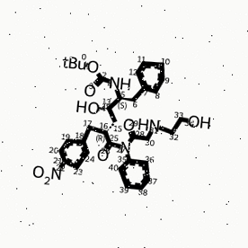 CC(C)(C)OC(=O)N[C@@H](Cc1ccccc1)[C@@H](O)C[C@@H](Cc1ccc([N+](=O)[O-])cc1)C(=O)N(C(=O)CNCCO)c1ccccc1